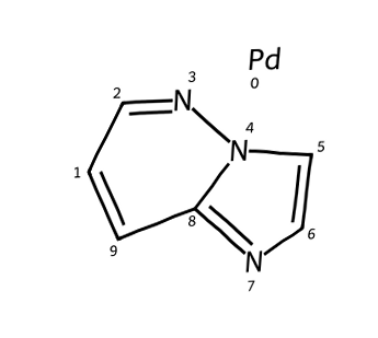 [Pd].c1cnn2ccnc2c1